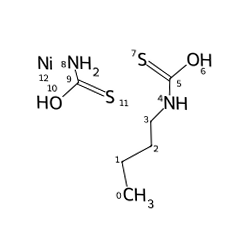 CCCCNC(O)=S.NC(O)=S.[Ni]